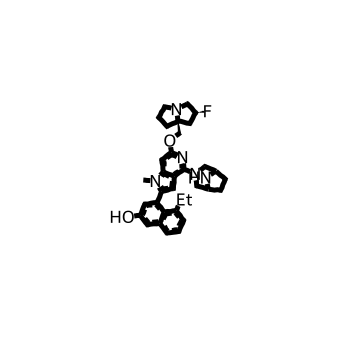 CCc1cccc2cc(O)cc(-c3cc4c(N5CC6CCC(C5)N6)nc(OC[C@@]56CCCN5C[C@H](F)C6)cc4n3C)c12